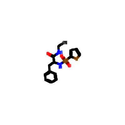 N#CCNC(=O)C(Cc1ccccc1)NS(=O)(=O)c1cccs1